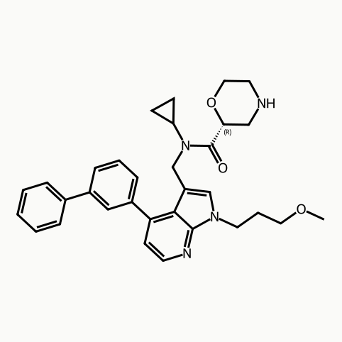 COCCCn1cc(CN(C(=O)[C@H]2CNCCO2)C2CC2)c2c(-c3cccc(-c4ccccc4)c3)ccnc21